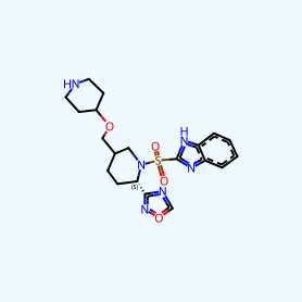 O=S(=O)(c1nc2ccccc2[nH]1)N1CC(COC2CCNCC2)CC[C@H]1c1ncon1